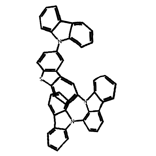 c1ccc2c(c1)c1ccccc1n2-c1ccc2sc3ccc(-n4c5ccccc5c5cccc(-n6c7ccccc7c7ccccc76)c54)cc3c2c1